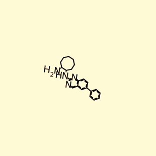 N[C@H]1CCCCCC[C@H]1Nc1ncc2cc(-c3ccccc3)ccc2n1